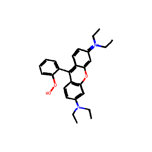 CCN(CC)c1ccc2c(-c3ccccc3OO)c3ccc(=[N+](CC)CC)cc-3oc2c1